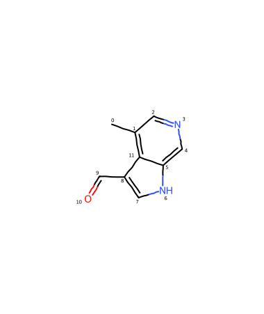 Cc1cncc2[nH]cc(C=O)c12